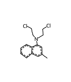 Cc1cc(N(CCCl)CCCl)c2ccccc2c1